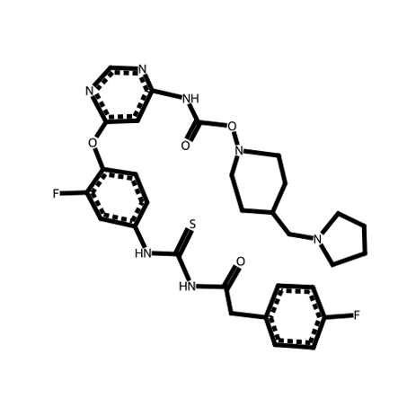 O=C(Cc1ccc(F)cc1)NC(=S)Nc1ccc(Oc2cc(NC(=O)ON3CCC(CN4CCCC4)CC3)ncn2)c(F)c1